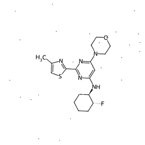 Cc1csc(-c2nc(N[C@@H]3CCCC[C@H]3F)cc(N3CCOCC3)n2)n1